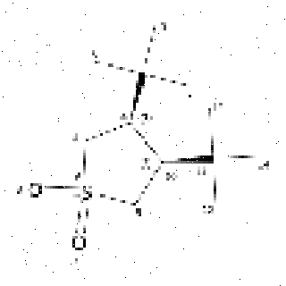 CC(C)(C)[C@@H]1CS(=O)(=O)C[C@@H]1C(C)(C)C